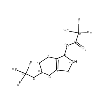 O=C(OC1NCC2=C1CCN(CC(F)(F)F)C2)C(F)(F)F